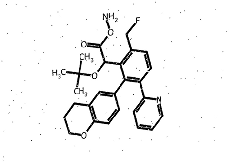 CC(C)(C)OC(C(=O)ON)c1c(CF)ccc(-c2ccccn2)c1-c1ccc2c(c1)CCCO2